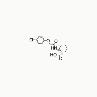 O=C(COc1ccc(Cl)cc1)N[C@@H]1CCCC[C@@H]1C(=O)O